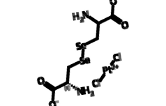 NC(C[Se][Se]C[C@H](N)C(=O)[O-])C(=O)[O-].[Cl][Pt+2][Cl]